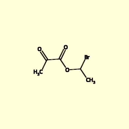 CC(=O)C(=O)OC(C)Br